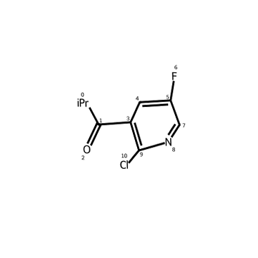 CC(C)C(=O)c1cc(F)cnc1Cl